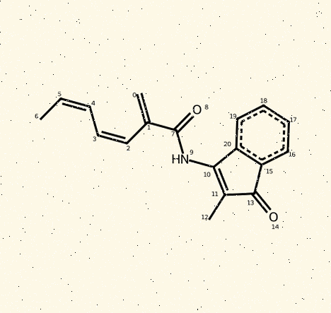 C=C(/C=C\C=C/C)C(=O)NC1=C(C)C(=O)c2ccccc21